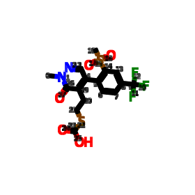 Cn1ncc(-c2ccc(C(F)(F)F)cc2S(C)(=O)=O)c(CCSC(=O)O)c1=O